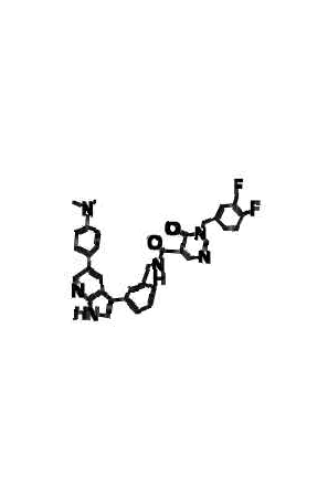 CN(C)c1ccc(-c2cnc3[nH]cc(-c4cccc(CNC(=O)c5cncn(Cc6ccc(F)c(F)c6)c5=O)c4)c3c2)cc1